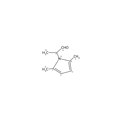 Cc1ccc(C)n1C(C)C=O